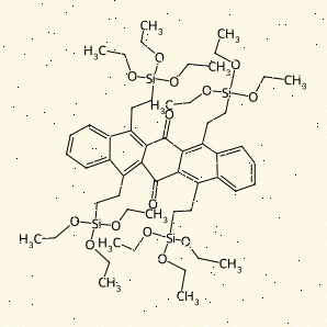 CCO[Si](CCc1c2c(c(CC[Si](OCC)(OCC)OCC)c3ccccc13)C(=O)c1c(c(CC[Si](OCC)(OCC)OCC)c3ccccc3c1CC[Si](OCC)(OCC)OCC)C2=O)(OCC)OCC